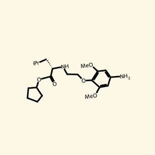 COc1cc(N)cc(OC)c1OCCN[C@@H](CC(C)C)C(=O)OC1CCCC1